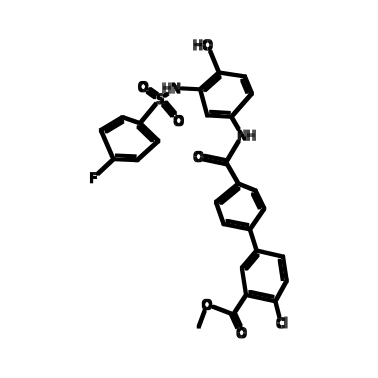 COC(=O)c1cc(-c2ccc(C(=O)Nc3ccc(O)c(NS(=O)(=O)c4ccc(F)cc4)c3)cc2)ccc1Cl